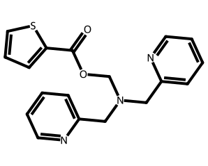 O=C(OCN(Cc1ccccn1)Cc1ccccn1)c1cccs1